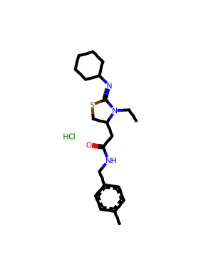 CCN1C(=NC2CCCCC2)SCC1CC(=O)NCc1ccc(C)cc1.Cl